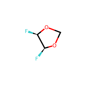 F[C@@H]1OCO[C@@H]1F